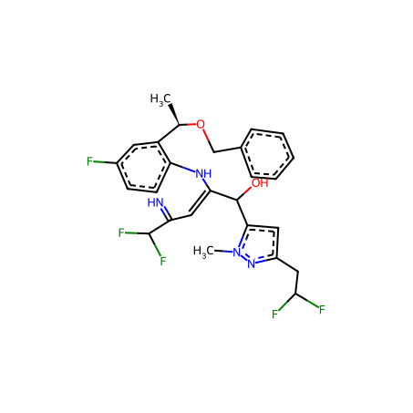 C[C@@H](OCc1ccccc1)c1cc(F)ccc1N/C(=C\C(=N)C(F)F)C(O)c1cc(CC(F)F)nn1C